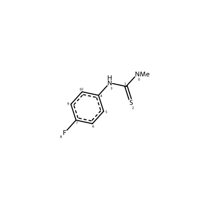 [CH2]NC(=S)Nc1ccc(F)cc1